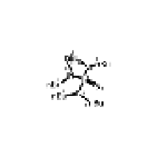 CCCCN(CCCC)P(=S)(N(CCCC)CCCC)N(CCCC)CCCC